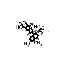 CC[C@@]1(O)C(=O)OCc2c1cc1n(c2=O)Cc2c-1nc1cc(C)c(C)c3c1c2[C@@H](NC(=O)[C@H](C)O)CC3